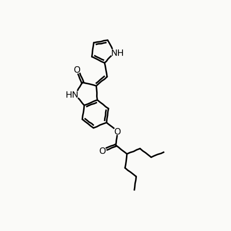 CCCC(CCC)C(=O)Oc1ccc2c(c1)C(=Cc1ccc[nH]1)C(=O)N2